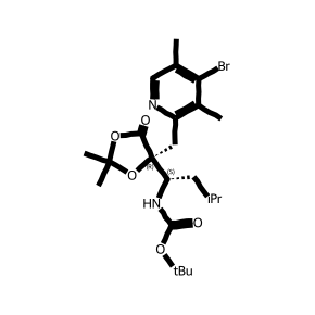 Cc1cnc(C[C@]2([C@H](CC(C)C)NC(=O)OC(C)(C)C)OC(C)(C)OC2=O)c(C)c1Br